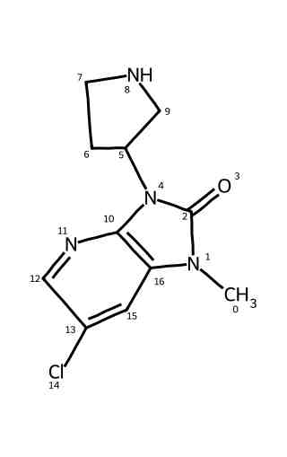 Cn1c(=O)n(C2CCNC2)c2ncc(Cl)cc21